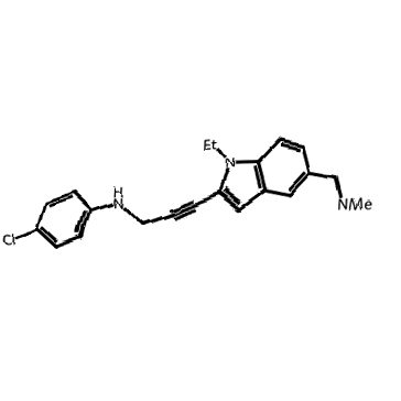 CCn1c(C#CCNc2ccc(Cl)cc2)cc2cc(CNC)ccc21